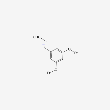 CCOc1cc(/C=C/[C]=O)cc(OCC)c1